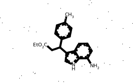 CCOC(=O)CC(c1ccc(C)cc1)c1c[nH]c2c(N)cccc12